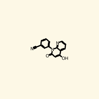 N#Cc1cccc(-n2c(=O)cc(O)c3cccnc32)c1